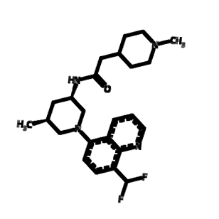 C[C@H]1C[C@@H](NC(=O)CC2CCN(C)CC2)CN(c2ccc(C(F)F)c3ncccc23)C1